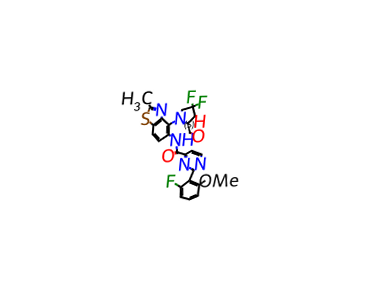 COc1cccc(F)c1-c1nccc(C(=O)Nc2ccc3sc(C)nc3c2N2CC(F)(F)C[C@H]2CO)n1